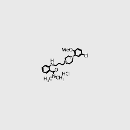 COc1ccc(Cl)cc1N1CCN(CCCNc2ccccc2C(=O)N(C)C)CC1.Cl